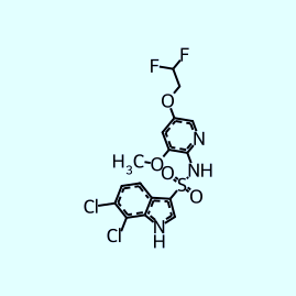 COc1cc(OCC(F)F)cnc1NS(=O)(=O)c1c[nH]c2c(Cl)c(Cl)ccc12